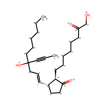 CC#CC(O)(CC=C[C@H]1CCC(=O)[C@@H]1CCCCCCC(=O)CO)CCCCCC